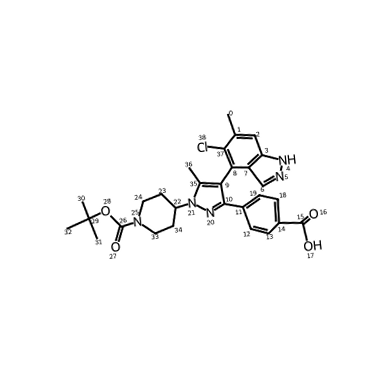 Cc1cc2[nH]ncc2c(-c2c(-c3ccc(C(=O)O)cc3)nn(C3CCN(C(=O)OC(C)(C)C)CC3)c2C)c1Cl